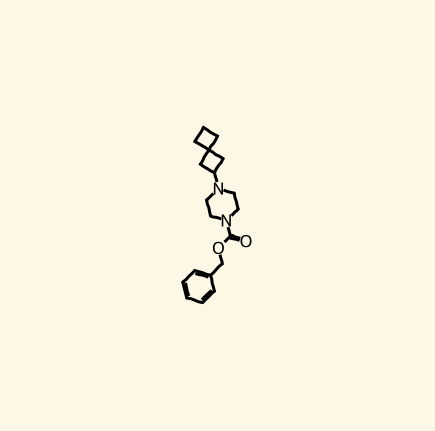 O=C(OCc1ccccc1)N1CCN(C2CC3(CCC3)C2)CC1